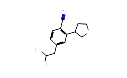 CC(C)Cc1ccc(C#N)c(C2CCNC2)c1